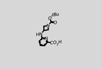 CC(C)(C)OC(=O)N1CC(Nc2cccc(C(=O)O)n2)C1